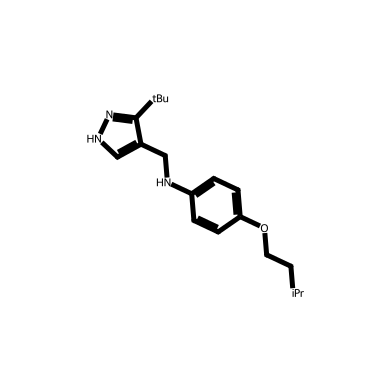 CC(C)CCOc1ccc(NCc2c[nH]nc2C(C)(C)C)cc1